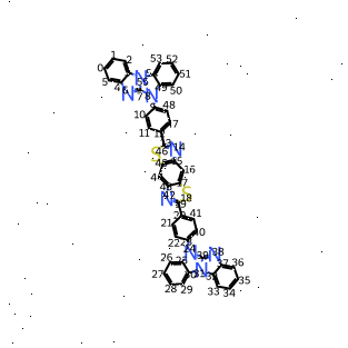 c1ccc2c(c1)nc1n(-c3ccc(-c4nc5cc6sc(-c7ccc(-n8c9ccccc9n9c%10ccccc%10nc89)cc7)nc6cc5s4)cc3)c3ccccc3n21